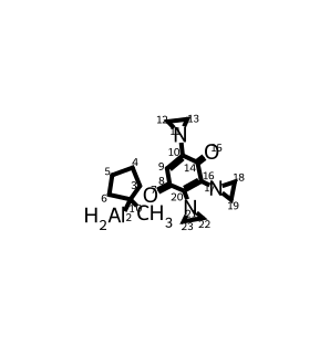 C[C]1([AlH2])CCCC1.O=C1C=C(N2CC2)C(=O)C(N2CC2)=C1N1CC1